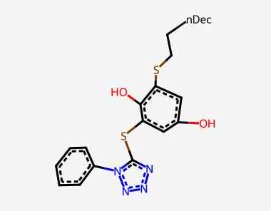 CCCCCCCCCCCCSc1cc(O)cc(Sc2nnnn2-c2ccccc2)c1O